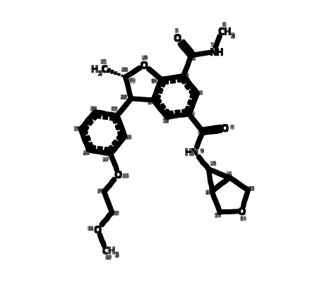 CNC(=O)c1cc(C(=O)NC2C3COCC32)cc2c1O[C@@H](C)C2c1cccc(OCCOC)c1